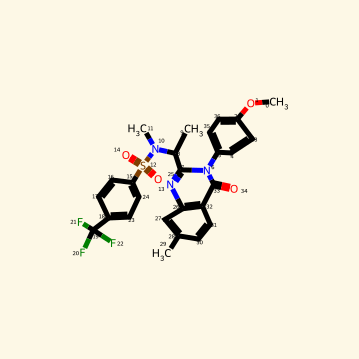 COc1ccc(-n2c(C(C)N(C)S(=O)(=O)c3ccc(C(F)(F)F)cc3)nc3cc(C)ccc3c2=O)cc1